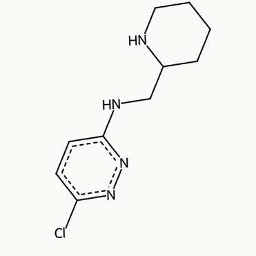 Clc1ccc(NCC2CCCCN2)nn1